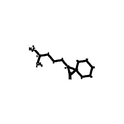 CN(C)CCCN1NC12CCCCC2